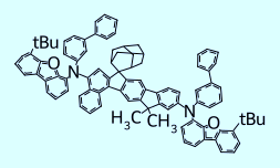 CC(C)(C)c1cccc2c1oc1c(N(c3cccc(-c4ccccc4)c3)c3ccc4c(c3)C(C)(C)c3cc5c(cc3-4)C3(c4cc(N(c6cccc(-c7ccccc7)c6)c6cccc7c6oc6c(C(C)(C)C)cccc67)c6ccccc6c4-5)C4CC5CC(C4)CC3C5)cccc12